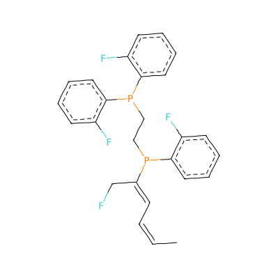 C/C=C\C=C(/CF)P(CCP(c1ccccc1F)c1ccccc1F)c1ccccc1F